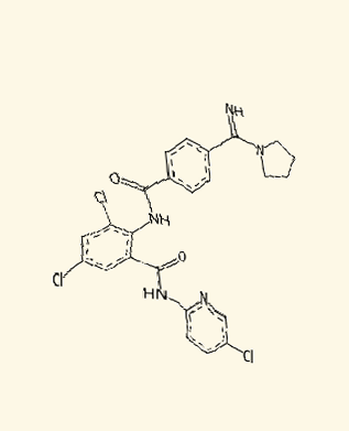 N=C(c1ccc(C(=O)Nc2c(Cl)cc(Cl)cc2C(=O)Nc2ccc(Cl)cn2)cc1)N1CCCC1